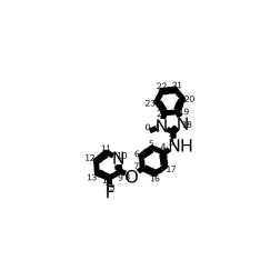 Cn1c(Nc2ccc(Oc3ncccc3F)cc2)nc2ccccc21